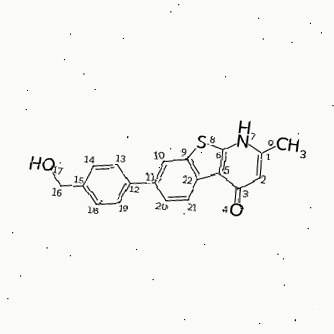 Cc1cc(=O)c2c([nH]1)sc1cc(-c3ccc(CO)cc3)ccc12